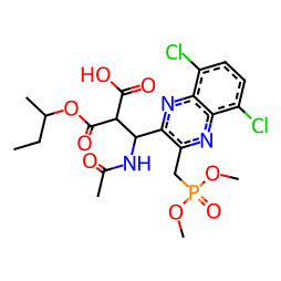 CCC(C)OC(=O)C(C(=O)O)C(NC(C)=O)c1nc2c(Cl)ccc(Cl)c2nc1CP(=O)(OC)OC